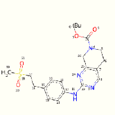 CC(C)(C)OC(=O)N1CCc2cnc(Nc3ccc(CCS(C)(=O)=O)cc3)nc2C1